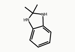 CC1(C)Nc2ccccc2N1